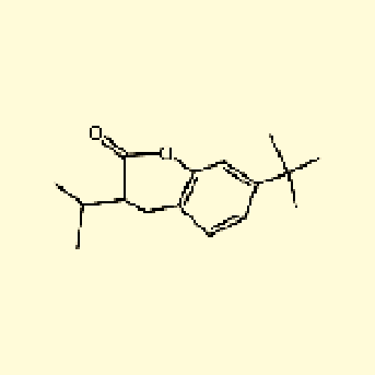 CC(C)C1Cc2ccc(C(C)(C)C)cc2OC1=O